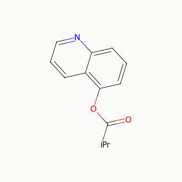 CC(C)C(=O)Oc1cccc2ncccc12